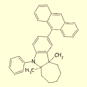 CC12CCCCCC1(C)N(c1ccccc1)c1ccc(-c3c4ccccc4cc4ccccc34)cc12